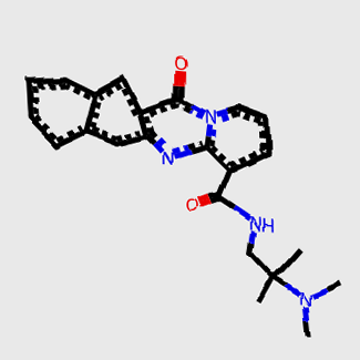 CN(C)C(C)(C)CNC(=O)c1cccn2c(=O)c3cc4ccccc4cc3nc12